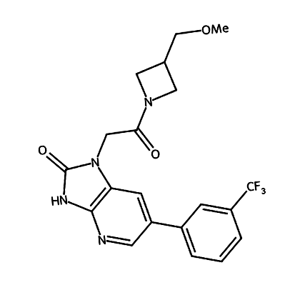 COCC1CN(C(=O)Cn2c(=O)[nH]c3ncc(-c4cccc(C(F)(F)F)c4)cc32)C1